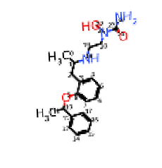 CC(Cc1ccccc1OC(C)c1ccccc1)NCCN(O)C(N)=O